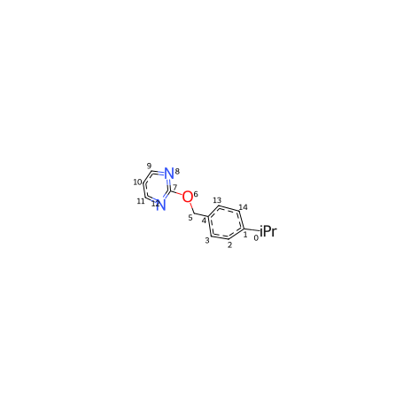 CC(C)c1ccc(COc2ncccn2)cc1